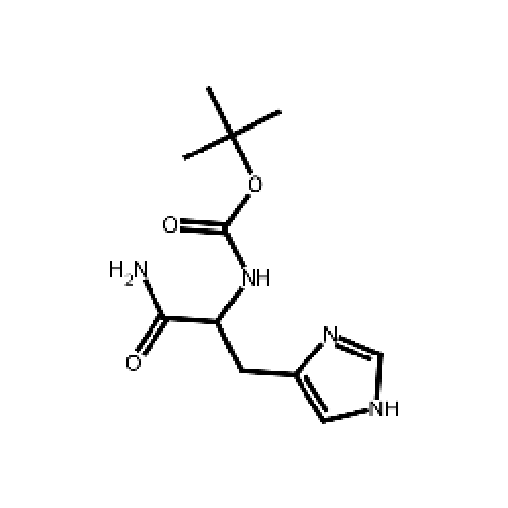 CC(C)(C)OC(=O)NC(Cc1c[nH]cn1)C(N)=O